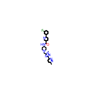 Cc1ccc(-c2nc(CN3CCC(NC(=O)c4ccc(-c5cccc(F)c5)nc4)CC3)n(C)n2)nn1